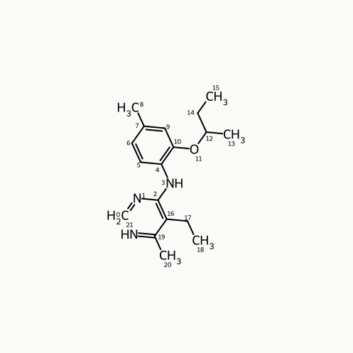 C=N/C(Nc1ccc(C)cc1OC(C)CC)=C(/CC)C(C)=N